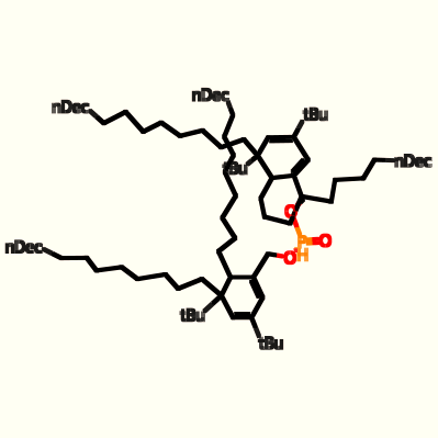 CCCCCCCCCCCCCCCCCCC1C(CO[PH](=O)OCC2=CC(C(C)(C)C)=CC(CCCCCCCCCCCCCCCCCC)(C(C)(C)C)C2CCCCCCCCCCCCCCCCCC)=CC(C(C)(C)C)=CC1(CCCCCCCCCCCCCCCCCC)C(C)(C)C